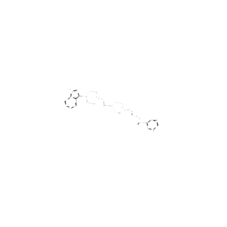 O=C(NC=NN1CCC(C(O)CN2CCC(c3c[nH]c4ccccc34)CC2)CC1)c1cc(F)cc(F)c1